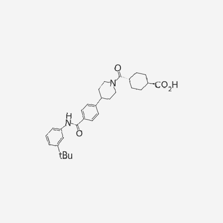 CC(C)(C)c1cccc(NC(=O)c2ccc(C3CCN(C(=O)[C@H]4CC[C@H](C(=O)O)CC4)CC3)cc2)c1